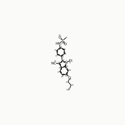 CCn1c(-c2ccc(NS(C)(=O)=O)cc2)c(C#N)c2ccc(OCCF)cc21